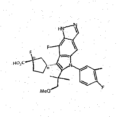 COCC(C)(C)c1c([C@@H]2CC[C@@](F)(C(=O)O)C2)c2c(F)c3[nH]ncc3cc2n1-c1ccc(F)c(C)c1